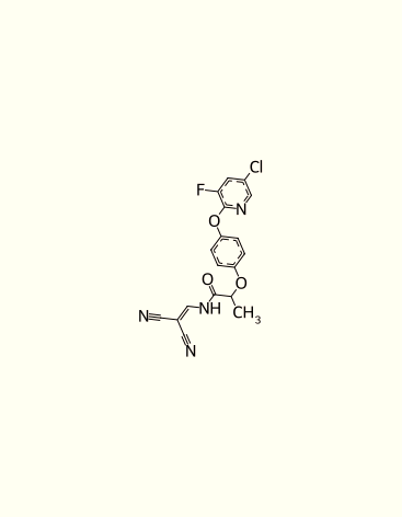 CC(Oc1ccc(Oc2ncc(Cl)cc2F)cc1)C(=O)NC=C(C#N)C#N